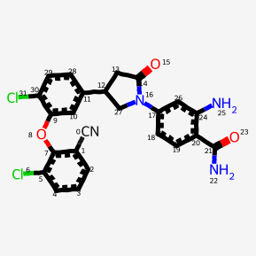 N#Cc1cccc(Cl)c1Oc1cc(C2CC(=O)N(c3ccc(C(N)=O)c(N)c3)C2)ccc1Cl